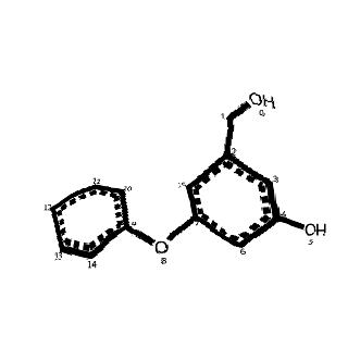 OCc1cc(O)cc(Oc2ccccc2)c1